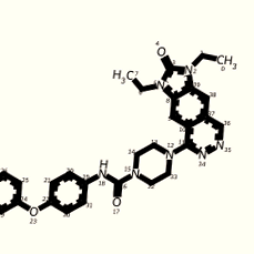 CCn1c(=O)n(CC)c2cc3c(N4CCN(C(=O)Nc5ccc(Oc6ccccc6)cc5)CC4)nncc3cc21